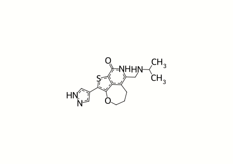 CC(C)NCc1[nH]c(=O)c2sc(-c3cn[nH]c3)c3c2c1CCCO3